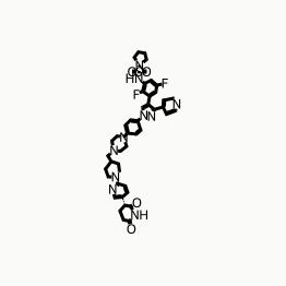 O=C1CC[C@H](c2ccc(N3CCC(CN4CCN(c5ccc(-n6cc(-c7cc(F)cc(NS(=O)(=O)N8CCCC8)c7F)c(-c7ccncc7)n6)cc5)CC4)CC3)nc2)C(=O)N1